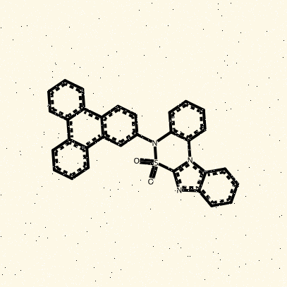 O=S1(=O)c2nc3ccccc3n2-c2ccccc2N1c1ccc2c3ccccc3c3ccccc3c2c1